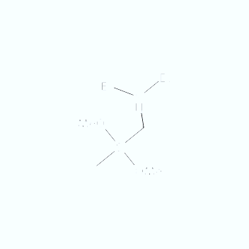 CC[SiH](CC)C[Si](C)(OC)OC